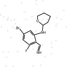 N=Cc1c(F)cc(Br)cc1NC1CCCCO1